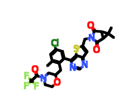 Cc1cc(Cl)cc(-c2ncnc3cc(CN4C(=O)C5C(C4=O)C5(C)C)sc23)c1CC1CN(C(=O)C(F)(F)F)CCO1